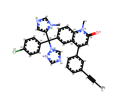 CC(C)C#Cc1cccc(-c2cc(=O)n(C)c3ccc(C(c4ccc(Cl)cc4)(c4cncn4C)n4cncn4)cc23)c1